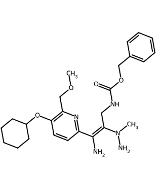 COCc1nc(/C(N)=C(\CNC(=O)OCc2ccccc2)N(C)N)ccc1OC1CCCCC1